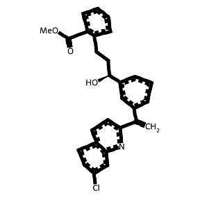 C=C(c1cccc([C@@H](O)CCc2ccccc2C(=O)OC)c1)c1ccc2ccc(Cl)cc2n1